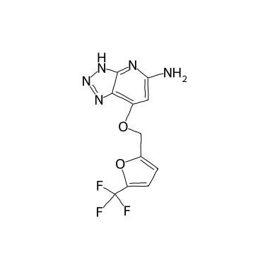 Nc1cc(OCc2ccc(C(F)(F)F)o2)c2nn[nH]c2n1